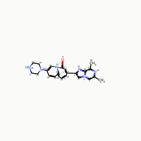 Cc1cn2cc(C3=C\C(=O)N4C=C(N5CCNCC5)C=C\C4=C/C=C/3)nc2c(C)n1